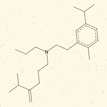 C=C(CCCN(CCC)CCc1cc(C(C)C)ccc1C)C(C)C